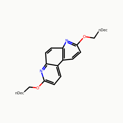 CCCCCCCCCCCOc1ccc2c(ccc3nc(OCCCCCCCCCCC)ccc32)n1